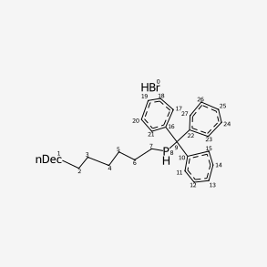 Br.CCCCCCCCCCCCCCCCPC(c1ccccc1)(c1ccccc1)c1ccccc1